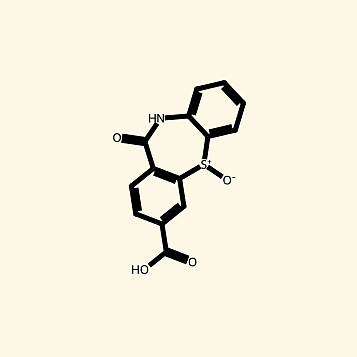 O=C(O)c1ccc2c(c1)[S+]([O-])c1ccccc1NC2=O